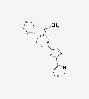 COc1cc(-c2cnn(-c3ccccn3)c2)ccc1-c1ccccn1